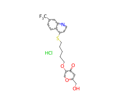 Cl.O=c1cc(CO)occ1OCCCCCSc1ccnc2cc(C(F)(F)F)ccc12